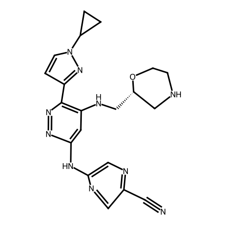 N#Cc1cnc(Nc2cc(NC[C@H]3CNCCO3)c(-c3ccn(C4CC4)n3)nn2)cn1